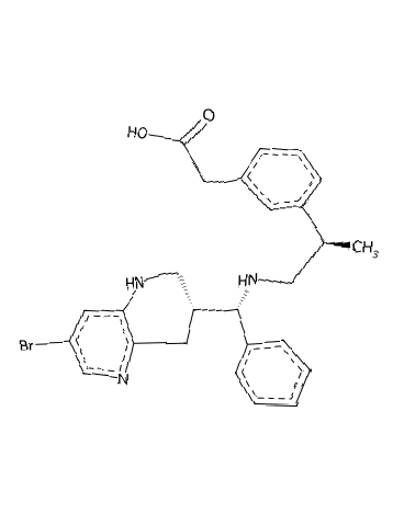 C[C@@H](CN[C@H](c1ccccc1)[C@H]1CNc2cc(Br)cnc2C1)c1cccc(CC(=O)O)c1